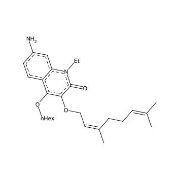 CCCCCCOc1c(OCC=C(C)CCC=C(C)C)c(=O)n(CC)c2cc(N)ccc12